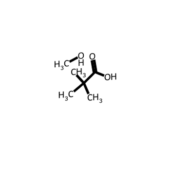 CC(C)(C)C(=O)O.CO